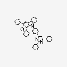 c1ccc(-c2cc(-c3ccc(-n4c5ccccc5c5cc(-c6ccccc6)c6oc7ccccc7c6c54)cc3)nc(-c3ccccc3)n2)cc1